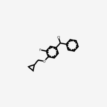 Fc1cc(C(Cl)c2ccccc2)ccc1OCC1CC1